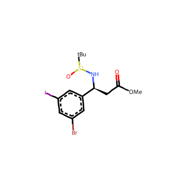 COC(=O)C[C@H](N[S+]([O-])C(C)(C)C)c1cc(Br)cc(I)c1